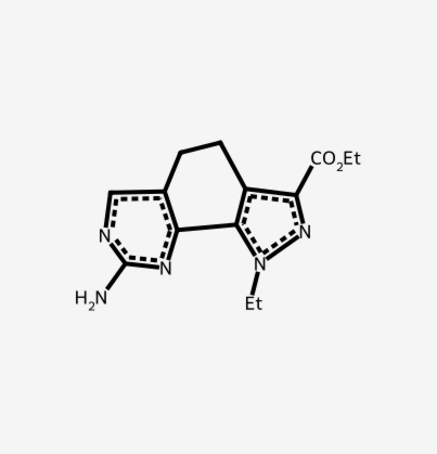 CCOC(=O)c1nn(CC)c2c1CCc1cnc(N)nc1-2